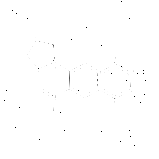 O=[N+]([O-])c1cc2cncnc2cc1N1CCCC1